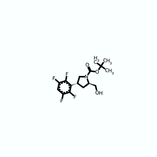 CC(C)(C)OC(=O)N1C[C@@H](c2c(F)c(F)cc(F)c2F)C[C@@H]1CO